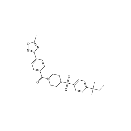 CCC(C)(C)c1ccc(S(=O)(=O)N2CCN(C(=O)c3ccc(-c4noc(C)n4)cc3)CC2)cc1